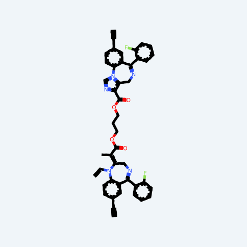 C#Cc1ccc2c(c1)C(c1ccccc1F)=NC/C(=C(/C)C(=O)OCCCOC(=O)c1ncn3c1CN=C(c1ccccc1F)c1cc(C#C)ccc1-3)N2C=C